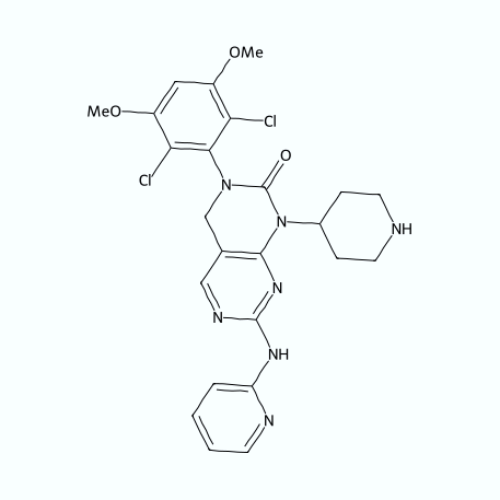 COc1cc(OC)c(Cl)c(N2Cc3cnc(Nc4ccccn4)nc3N(C3CCNCC3)C2=O)c1Cl